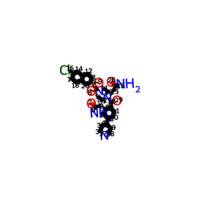 NC(=O)C[C@@H]1CN(S(=O)(=O)c2ccc3cc(Cl)ccc3c2)C[C@@H](CC(N)=O)N1C(=O)c1ccc(-c2ccncc2)cc1